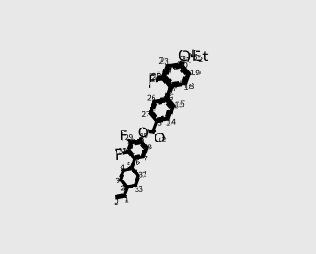 C=CC1CCC(c2ccc(OC(=O)c3ccc(-c4ccc(OCC)cc4F)cc3)c(F)c2F)CC1